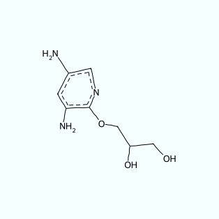 Nc1cnc(OCC(O)CO)c(N)c1